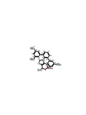 CCC1CCCC2=C1S[C]N2c1c(-c2cc(C(C)(C)C)cc(C(C)(C)C)c2)cccc1-c1cc(C(C)(C)C)cc(C(C)(C)C)c1